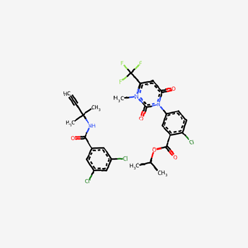 C#CC(C)(C)NC(=O)c1cc(Cl)cc(Cl)c1.CC(C)OC(=O)c1cc(-n2c(=O)cc(C(F)(F)F)n(C)c2=O)ccc1Cl